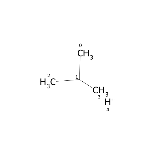 CC(C)C.[H+]